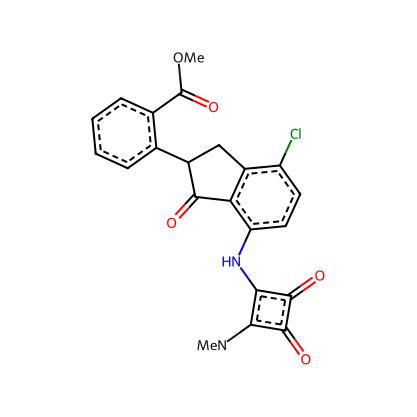 CNc1c(Nc2ccc(Cl)c3c2C(=O)C(c2ccccc2C(=O)OC)C3)c(=O)c1=O